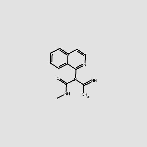 CNC(=O)N(C(=N)N)c1nccc2ccccc12